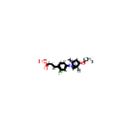 CO[C@@H]1C[C@@H]2C[C@H]1CN2c1ccc(CCC(=O)O)c(F)c1